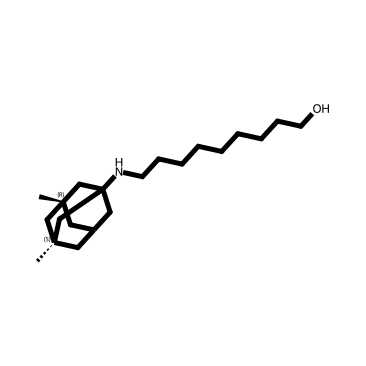 C[C@]12CC3CC(NCCCCCCCCCO)(C1)C[C@@](C)(C3)C2